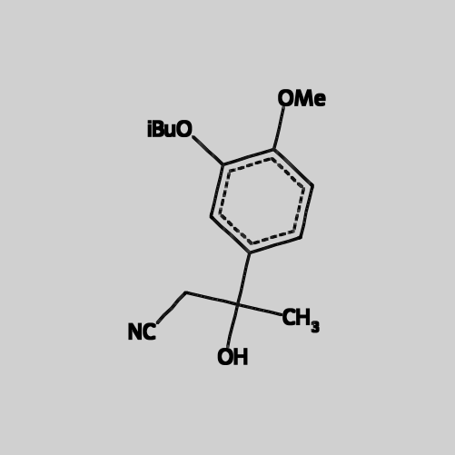 COc1ccc(C(C)(O)CC#N)cc1OCC(C)C